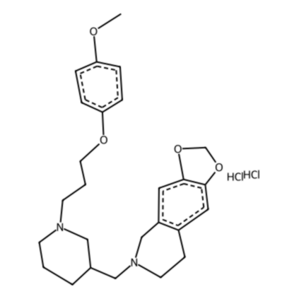 COc1ccc(OCCCN2CCCC(CN3CCc4cc5c(cc4C3)OCO5)C2)cc1.Cl.Cl